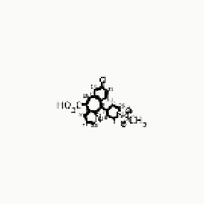 CS(=O)(=O)N1CCC(C2c3ccc(Cl)cc3C=C(C(=O)O)c3cccnc32)CC1